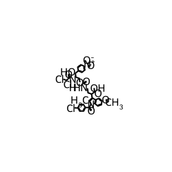 COc1ccc2c(c1)c(C(CCNC(=O)OCC(NC(=O)C(Cl)Cl)C(O)c1ccc([N+](=O)[O-])cc1)C(=O)O)c(C)n2C(=O)c1ccc(Cl)cc1